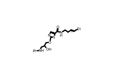 CC/C=C/CCNC(=O)c1cnc(OCC(O)CNC(C)C)s1